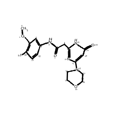 COc1cc(NC(=O)Cc2nc(N3CCOCC3)cc(=O)[nH]2)ccc1F